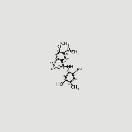 COc1cc2nncc(Nc3cc(O)c(C)cc3F)c2cc1OC